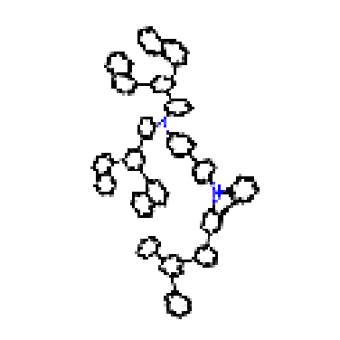 c1ccc(-c2cc(-c3ccccc3)cc(-c3cccc(-c4ccc5c(c4)c4ccccc4n5-c4ccc(-c5ccc(N(c6cccc(-c7cc(-c8cccc9ccccc89)cc(-c8cccc9ccccc89)c7)c6)c6cccc(-c7cc(-c8cccc9ccccc89)cc(-c8cccc9ccccc89)c7)c6)cc5)cc4)c3)c2)cc1